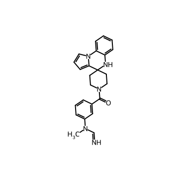 CN(C=N)c1cccc(C(=O)N2CCC3(CC2)Nc2ccccc2-n2cccc23)c1